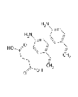 C=Cc1ccc(N)cc1.C=Cc1ccc(N)cc1.O=C(O)CCC(=O)O